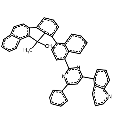 CC1(C)c2c(cccc2-c2ccc(-c3nc(-c4ccccc4)cc(-c4cccc5ncccc45)n3)c3ccccc23)-c2ccc3ccccc3c21